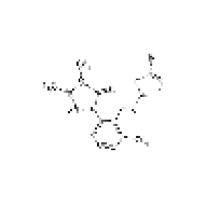 Cc1cccc(N2NN(C)N(C)C2=O)c1COc1ccc(Br)s1